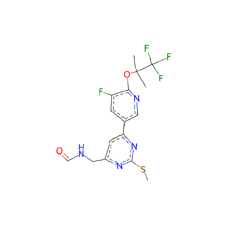 CSc1nc(CNC=O)cc(-c2cnc(OC(C)(C)C(F)(F)F)c(F)c2)n1